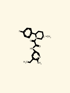 CCc1cc(NC(=O)C(=O)N2C[C@@H](C)CCC2c2ccc(F)cc2)cnc1N